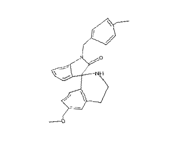 COc1ccc2c(c1)CCNC21C(=O)N(Cc2ccc(C)cc2)c2ccccc21